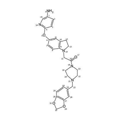 Nc1ccc(Oc2ccc3c(c2)CCN3CC(=O)N2CCN(Cc3ccc4c(c3)OCO4)CC2)nc1